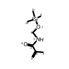 C=C(C)C(=O)NCO[Si](C)(C)C